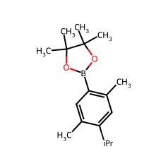 Cc1cc(C(C)C)c(C)cc1B1OC(C)(C)C(C)(C)O1